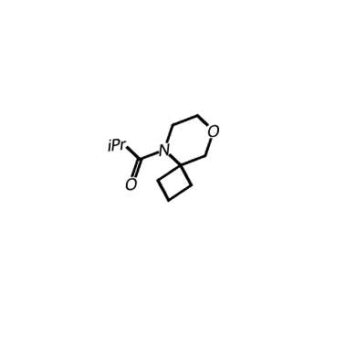 CC(C)C(=O)N1CCOCC12CCC2